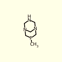 CP1CN2CNCN(C2)C1